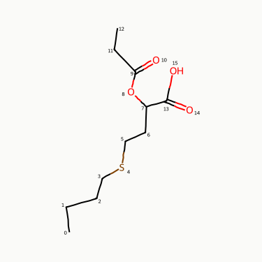 CCCCSCCC(OC(=O)CC)C(=O)O